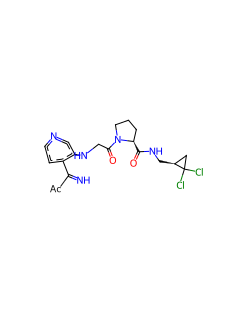 CC(=O)C(=N)c1ccncc1NCC(=O)N1CCC[C@H]1C(=O)NC[C@H]1CC1(Cl)Cl